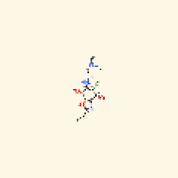 CCc1nc2c(o1)C(=O)C(NCCN(C)C)=C(Cl)C2=O